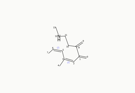 C=C(/C=C(C)\C=C/C)C(=C)CCNC